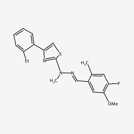 CCc1ccccc1-c1csc(N(C)/N=C/c2cc(OC)c(F)cc2C)n1